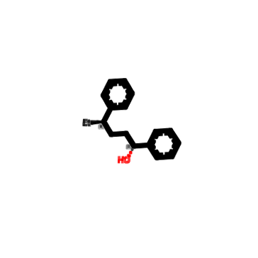 CC[C@H](CC[C@@H](O)c1ccccc1)c1ccccc1